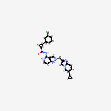 O=C(Nc1nccc2nn(Cc3cn4cc(C5CC5)ccc4n3)cc12)[C@H]1CC1c1cccc(Cl)c1